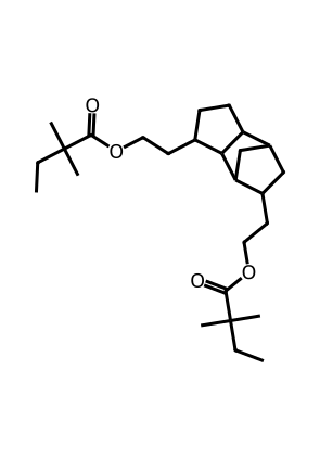 CCC(C)(C)C(=O)OCCC1CC2CC1C1C(CCOC(=O)C(C)(C)CC)CCC21